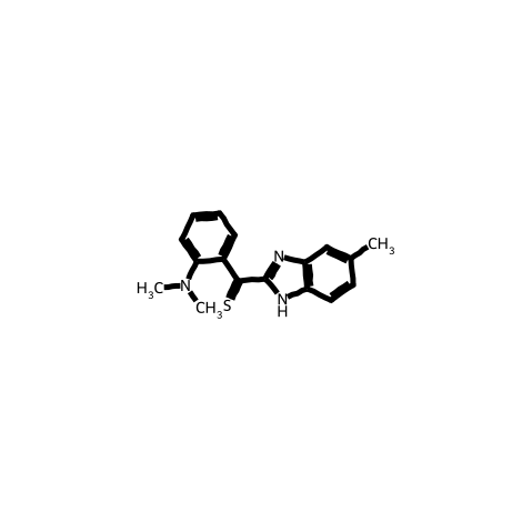 Cc1ccc2[nH]c(C(=S)c3ccccc3N(C)C)nc2c1